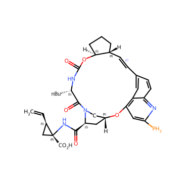 C=C[C@@H]1C[C@]1(NC(=O)[C@@H]1C[C@@H]2CN1C(=O)[C@H](CCCC)NC(=O)O[C@H]1CCC[C@@H]1/C=C/c1ccc3nc(P)cc(c3c1)O2)C(=O)O